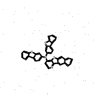 c1ccc2cc3c(cc2c1)sc1c(N(c2ccc4c(c2)sc2ccccc24)c2ccc4c(c2)sc2ccccc24)ccnc13